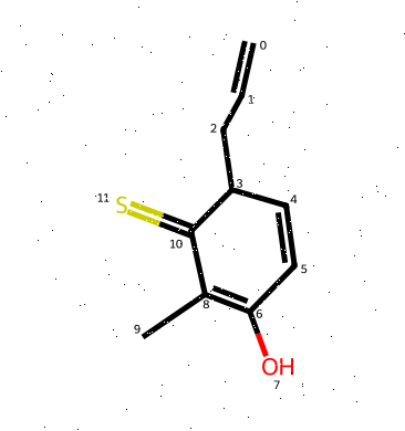 C=CCC1C=CC(O)=C(C)C1=S